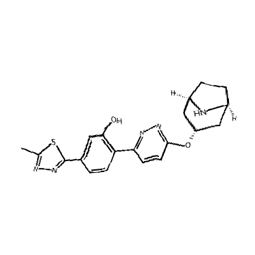 Cc1nnc(-c2ccc(-c3ccc(O[C@@H]4C[C@H]5CC[C@@H](C4)N5)nn3)c(O)c2)s1